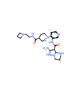 NC1NN2CC(F)CNC2C1C(=O)Nc1cncc(F)c1N1CCC(C(=O)NCCN2CCC2)CC1